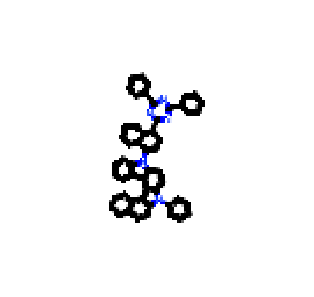 c1ccc(-c2nc(-c3ccccc3)nc(-c3ccc(-n4c5ccccc5c5c6c7c8ccccc8ccc7n(-c7ccccc7)c6ccc54)c4ccccc34)n2)cc1